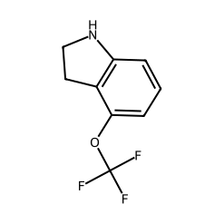 FC(F)(F)Oc1cccc2c1CCN2